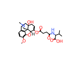 COc1ccc2c3c1O[C@H]1C(OC(=O)CCC(=O)NC(C(=O)O)C(C)C)=CC[C@@]4(O)C(C2)N(C)CC[C@]314